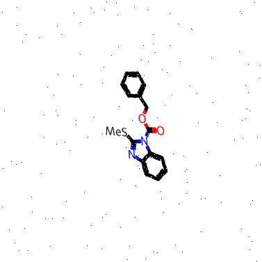 CSc1nc2ccccc2n1C(=O)OCc1ccccc1